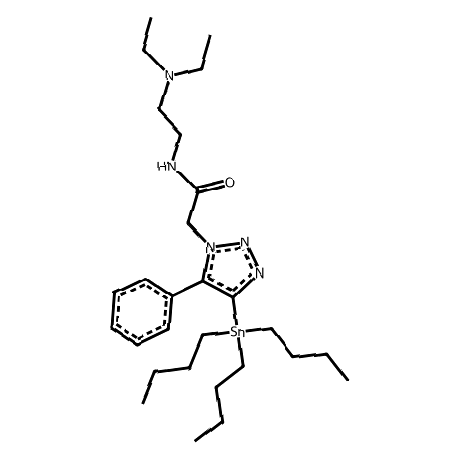 CCC[CH2][Sn]([CH2]CCC)([CH2]CCC)[c]1nnn(CC(=O)NCCN(CC)CC)c1-c1ccccc1